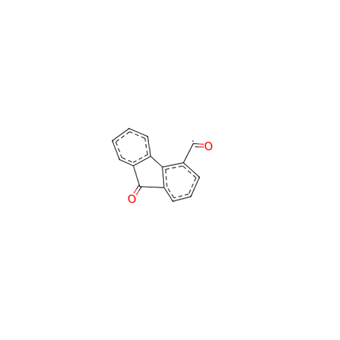 O=[C]c1cccc2c1-c1ccccc1C2=O